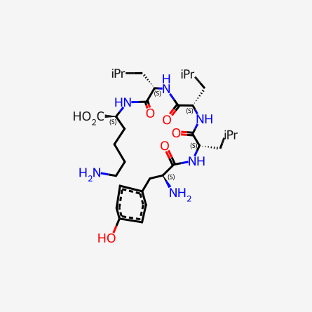 CC(C)C[C@H](NC(=O)[C@H](CC(C)C)NC(=O)[C@H](CC(C)C)NC(=O)[C@@H](N)Cc1ccc(O)cc1)C(=O)N[C@@H](CCCCN)C(=O)O